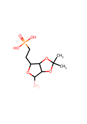 BC1OC(CCP(=O)(O)O)C2OC(C)(C)OC12